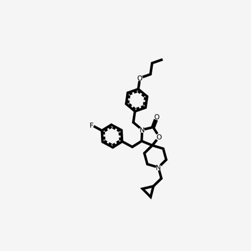 CCCOc1ccc(CN2C(=O)OC3(CCN(CC4CC4)CC3)C2Cc2ccc(F)cc2)cc1